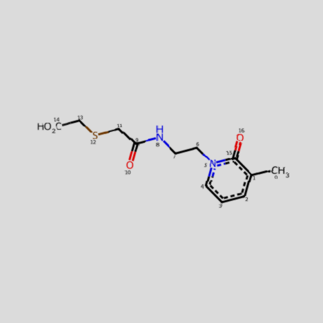 Cc1cccn(CCNC(=O)CSCC(=O)O)c1=O